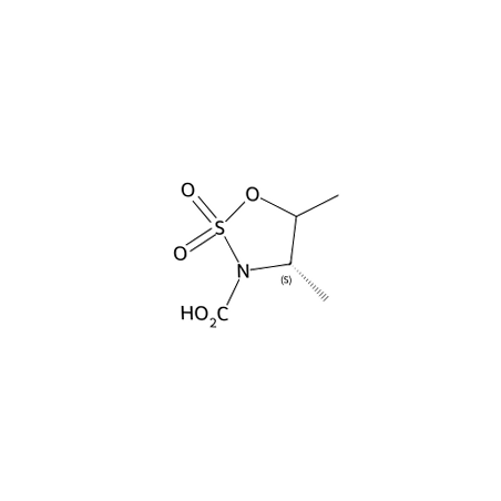 CC1OS(=O)(=O)N(C(=O)O)[C@H]1C